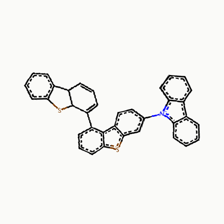 C1=CC2c3ccccc3SC2C(c2cccc3sc4cc(-n5c6ccccc6c6ccccc65)ccc4c23)=C1